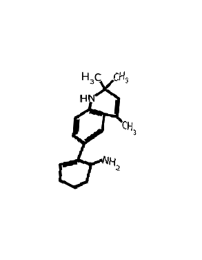 CC1=CC(C)(C)Nc2ccc(C3=CCCCC3N)cc21